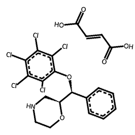 Clc1c(Cl)c(Cl)c(O[C@@H](c2ccccc2)[C@@H]2CNCCO2)c(Cl)c1Cl.O=C(O)C=CC(=O)O